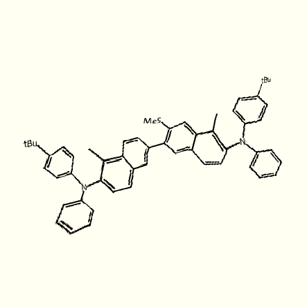 CSc1cc2c(C)c(N(c3ccccc3)c3ccc(C(C)(C)C)cc3)ccc2cc1-c1ccc2c(C)c(N(c3ccccc3)c3ccc(C(C)(C)C)cc3)ccc2c1